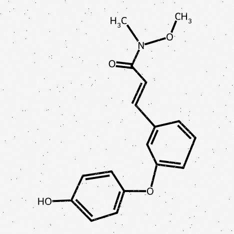 CON(C)C(=O)/C=C/c1cccc(Oc2ccc(O)cc2)c1